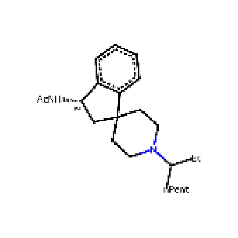 CCCCCC(CC)N1CCC2(CC1)C[C@H](NC(C)=O)c1ccccc12